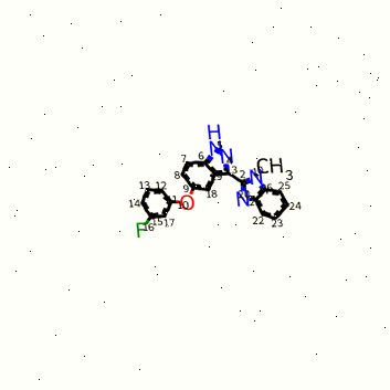 Cn1c(-c2n[nH]c3ccc(Oc4cccc(F)c4)cc23)nc2ccccc21